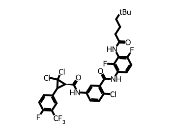 CC(C)(C)CCCC(=O)Nc1c(F)ccc(NC(=O)c2cc(NC(=O)[C@H]3C(c4ccc(F)c(C(F)(F)F)c4)C3(Cl)Cl)ccc2Cl)c1F